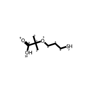 CC(C)(OCCCS)C(=O)O